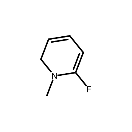 CN1CC=CC=C1F